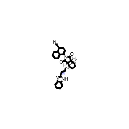 C[C@]12CC[C@](C/C=C/c3nc4ccccc4[nH]3)(O1)[C@@H]1C(=O)N(c3ccc(C#N)c4ccccc34)C(=O)[C@@H]12